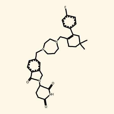 CC1(C)CCC(CN2CCCN(Cc3ccc4c(c3)CN(C3CCC(=O)NC3=O)C4=O)CC2)=C(c2ccc(F)cc2)C1